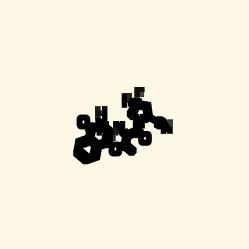 CC(Oc1c[nH]c(=O)c2ccccc12)C(N)C(=O)N1CC(F)(F)C[C@H]1C#N